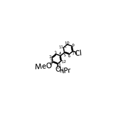 COc1ccc(C2=CC(Cl)=CC[CH]2)cc1OC(C)C